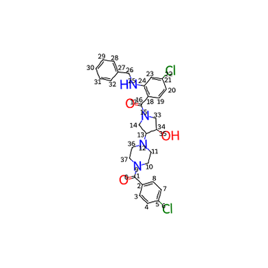 O=C(c1ccc(Cl)cc1)N1CCN(C2CN(C(=O)c3ccc(Cl)cc3NCc3ccccc3)CC2O)CC1